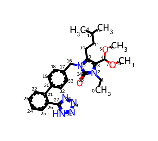 CCn1c(C(OC)OC)c(CCC(C)C)n(Cc2ccc(-c3ccccc3-c3nnn[nH]3)cc2)c1=O